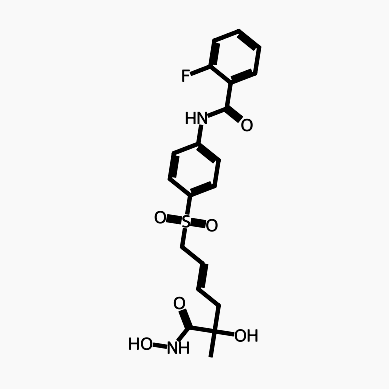 CC(O)(CC=CCS(=O)(=O)c1ccc(NC(=O)c2ccccc2F)cc1)C(=O)NO